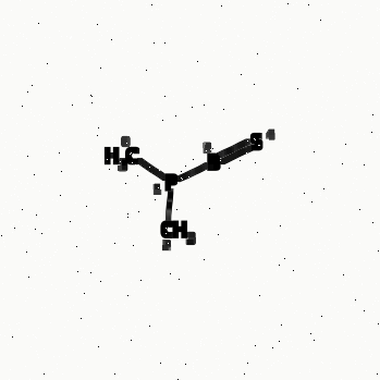 CP(C)B=S